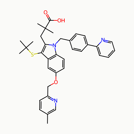 Cc1ccc(COc2ccc3c(c2)c(SC(C)(C)C)c(CC(C)(C)C(=O)O)n3Cc2ccc(-c3ccccn3)cc2)nc1